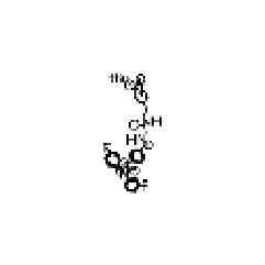 CC(C)(C)OC(=O)N1CCC(CCNC(=O)CNC(=O)c2ccc(S(=O)(=O)N(Oc3ccc(F)cc3)c3cccc(F)c3)cc2)CC1